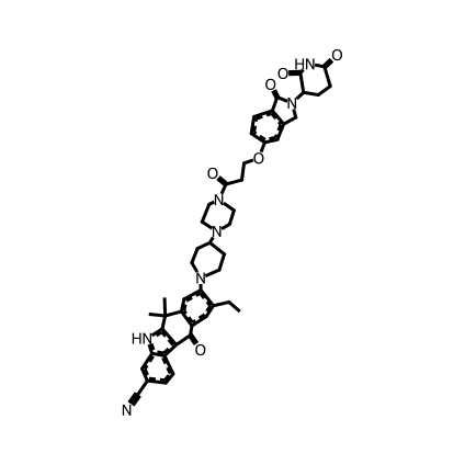 CCc1cc2c(cc1N1CCC(N3CCN(C(=O)CCOc4ccc5c(c4)CN(C4CCC(=O)NC4=O)C5=O)CC3)CC1)C(C)(C)c1[nH]c3cc(C#N)ccc3c1C2=O